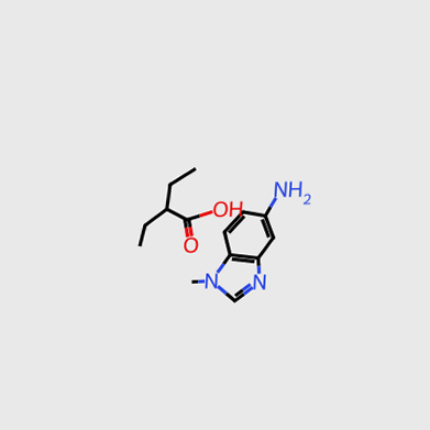 CCC(CC)C(=O)O.Cn1cnc2cc(N)ccc21